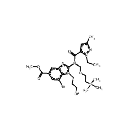 CCn1nc(C)cc1C(=O)N(COCC[Si](C)(C)C)c1nc2cc(C(=O)OC)cc(Br)c2n1CCCO